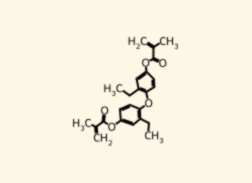 C=C(C)C(=O)Oc1ccc(Oc2ccc(OC(=O)C(=C)C)cc2CC)c(CC)c1